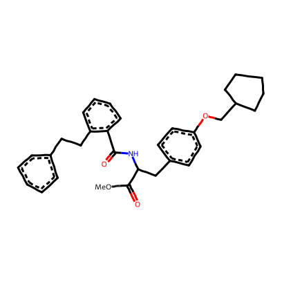 COC(=O)C(Cc1ccc(OCC2CCCCC2)cc1)NC(=O)c1ccccc1CCc1ccccc1